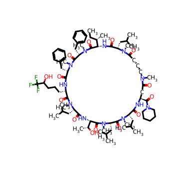 CC[C@H](C)[C@@H]1NC(=O)[C@H](CC(C)C)N(C)C(=O)CCCN(C)C(=O)C[C@@H](C(=O)N2CCCCC2)NC(=O)[C@H](CC(C)C)N(C)C(=O)[C@H](CC(C)C)N(C)C(=O)[C@H]([C@@H](C)O)NC(=O)[C@H](CC(C)C)N(C)C(=O)[C@H](CCCC(O)C(F)(F)F)NC(=O)[C@H](Cc2ccccc2)N(C)C(=O)[C@H](Cc2ccccc2)N(C)C1=O